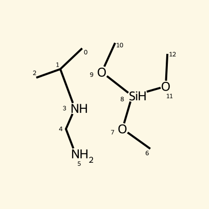 CC(C)NCN.CO[SiH](OC)OC